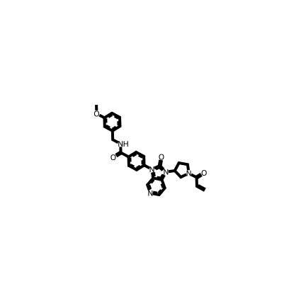 C=CC(=O)N1CCC(n2c(=O)n(-c3ccc(C(=O)NCc4cccc(OC)c4)cc3)c3cnccc32)C1